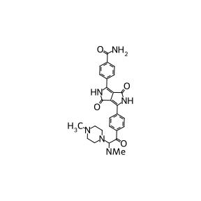 CNC(C(=O)c1ccc(C2=C3C(=O)NC(c4ccc(C(N)=O)cc4)=C3C(=O)N2)cc1)N1CCN(C)CC1